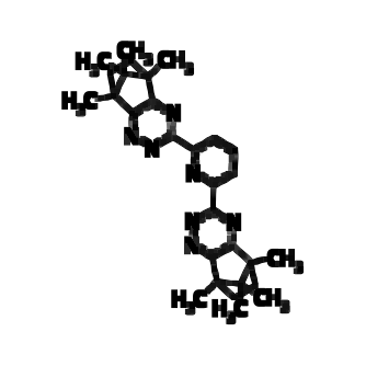 CC12CCC(C)(c3nc(-c4cccc(-c5nnc6c(n5)C5(C)CCC6(C)C5(C)C)n4)nnc31)C2(C)C